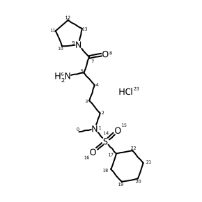 CN(CCCC(N)C(=O)N1CCCC1)S(=O)(=O)C1CCCCC1.Cl